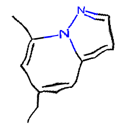 Cc1cc(C)n2nccc2c1